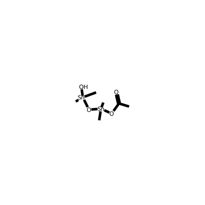 CC(=O)[O][Sn]([CH3])([CH3])[O][Sn]([CH3])([CH3])[OH]